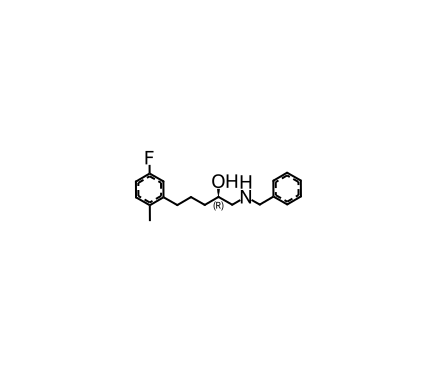 Cc1ccc(F)cc1CCC[C@@H](O)CNCc1ccccc1